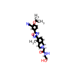 Cc1c(-c2noc(-c3ccc(OC(C)C)c(C#N)c3)n2)ccc2c1CCN(CC(=O)NCCO)C2